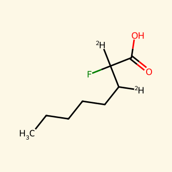 [2H]C(CCCCC)C([2H])(F)C(=O)O